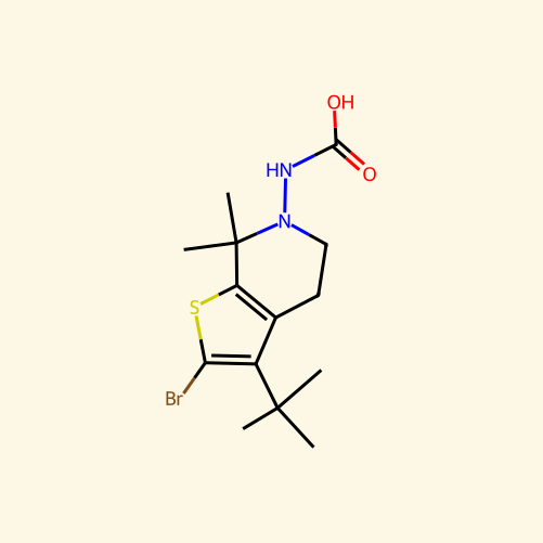 CC(C)(C)c1c(Br)sc2c1CCN(NC(=O)O)C2(C)C